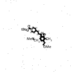 CNC.COCCc1ccc2c(CCC3CCN(C(=O)OC(C)(C)C)CC3)noc2c1C